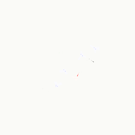 C=C(C)c1cnc(O[C@@H]2C[C@H]3CNCCN3C2)cn1.Cl